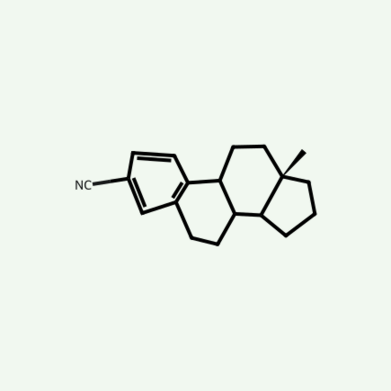 C[C@@]12CCCC1C1CCc3cc(C#N)ccc3C1CC2